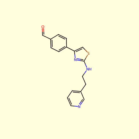 O=Cc1ccc(-c2csc(NCCc3cccnc3)n2)cc1